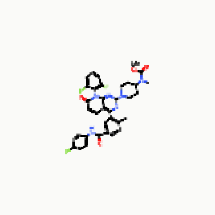 Cc1ccc(C(=O)Nc2ccc(F)cc2)cc1-c1nc(N2CCC(N(C)C(=O)OC(C)(C)C)CC2)nc2c1ccc(=O)n2-c1c(F)cccc1F